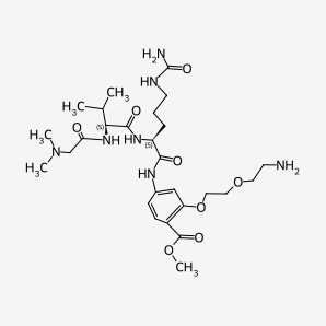 COC(=O)c1ccc(NC(=O)[C@H](CCCNC(N)=O)NC(=O)[C@@H](NC(=O)CN(C)C)C(C)C)cc1OCCOCCN